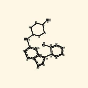 OC1CCC(Nc2ccc3ncc(-c4ccccc4Cl)n3n2)CC1